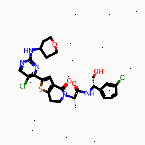 C[C@@H](C(=O)N[C@H](CO)c1cccc(Cl)c1)N1CCc2sc(-c3nc(NC4CCOCC4)ncc3Cl)cc2C1=O